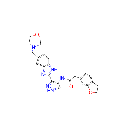 O=C(Cc1ccc2c(c1)OCC2)Nc1c[nH]nc1-c1nc2cc(CN3CCOCC3)ccc2[nH]1